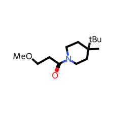 COCCC(=O)N1CCC(C)(C(C)(C)C)CC1